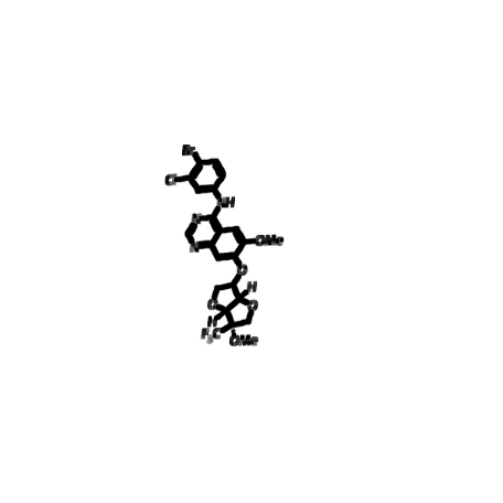 COc1cc2c(Nc3ccc(Br)c(Cl)c3)ncnc2cc1OC1CO[C@@H]2[C@H]1OC[C@@]2(OC)C(F)(F)F